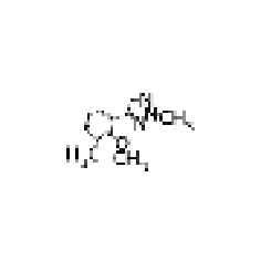 COc1c(C)cccc1-c1cnn(C)n1